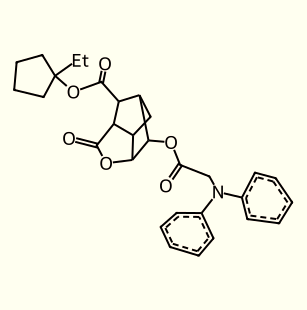 CCC1(OC(=O)C2C3CC4C(OC(=O)C42)C3OC(=O)CN(c2ccccc2)c2ccccc2)CCCC1